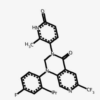 Cc1[nH]c(=O)ccc1N1CN(c2ccc(F)cc2C(C)C)c2cnc(C(F)(F)F)cc2C1=O